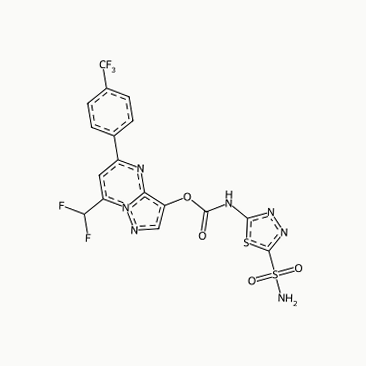 NS(=O)(=O)c1nnc(NC(=O)Oc2cnn3c(C(F)F)cc(-c4ccc(C(F)(F)F)cc4)nc23)s1